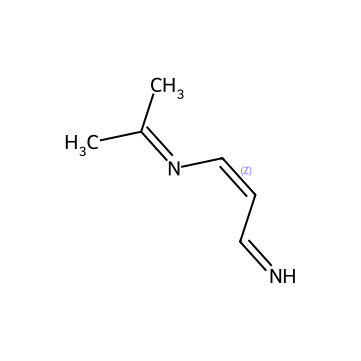 CC(C)=N/C=C\C=N